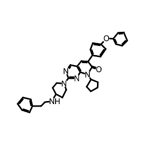 O=c1c(-c2ccc(Oc3ccccc3)cc2)cc2cnc(N3CCC(NCCc4ccccc4)CC3)nc2n1C1CCCC1